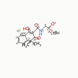 CC(C)(C)OC(=O)CNC(=O)C1=C(O)c2c(F)cccc2C(C)(C)C1=O